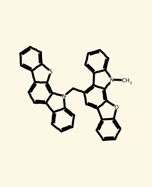 Cn1c2ccccc2c2c(Cn3c4ccccc4c4ccc5c6ccccc6sc5c43)cc3c4ccccc4oc3c21